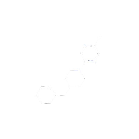 Brc1cnc(N2CCC(Cc3ccccc3)CC2)cn1